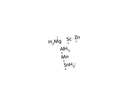 [AlH3].[MgH2].[Mn].[Sc].[SnH2].[Zn]